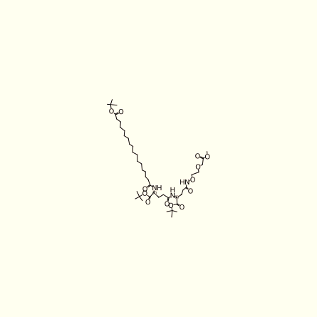 COC(=O)COCCONC(=O)CC[C@H](NC(=O)CC[C@H](NC(=O)CCCCCCCCCCCCCCCCC(=O)OC(C)(C)C)C(=O)OC(C)(C)C)C(=O)OC(C)(C)C